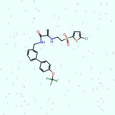 C=C(NCCS(=O)(=O)c1ccc(Cl)s1)C(=O)NCc1cccc(-c2ccc(OC(F)(F)F)cc2)c1